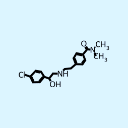 CN(C)C(=O)c1ccc(CCNCC(O)c2ccc(Cl)cc2)cc1